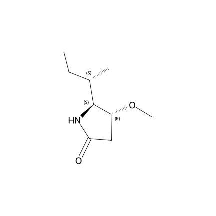 CC[C@H](C)[C@@H]1NC(=O)C[C@H]1OC